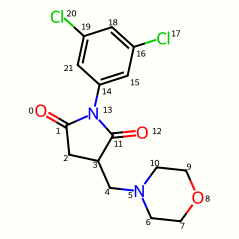 O=C1CC(CN2CCOCC2)C(=O)N1c1cc(Cl)cc(Cl)c1